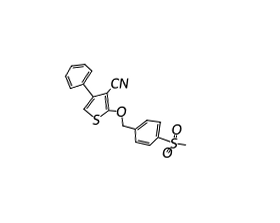 CS(=O)(=O)c1ccc(COc2scc(-c3ccccc3)c2C#N)cc1